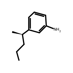 CCC[C@@H](C)c1cccc(N)c1